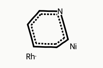 [Ni].[Rh].c1ccncc1